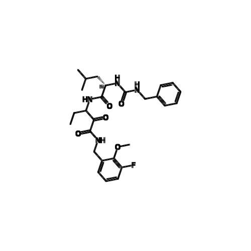 CCC(NC(=O)[C@H](CC(C)C)NC(=O)NCc1ccccc1)C(=O)C(=O)NCc1cccc(F)c1OC